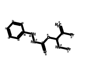 C=C(C(C)C)C(NC(C)C)OC(=O)NNc1ccccc1